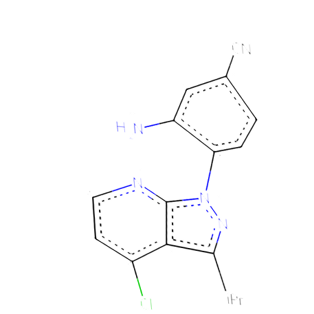 CC(C)c1nn(-c2ccc(C#N)cc2N)c2nccc(Cl)c12